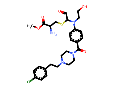 COC(=O)C(N)CSC(C=O)N(CCO)c1ccc(C(=O)N2CCN(CCc3ccc(Cl)cc3)CC2)cc1